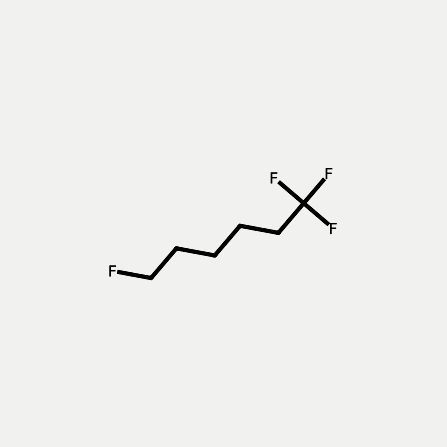 FCCCCCC(F)(F)F